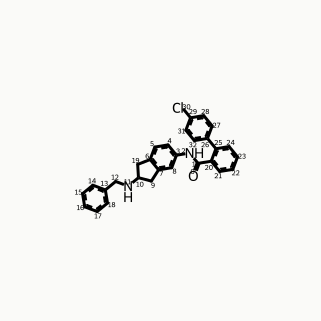 O=C(Nc1ccc2c(c1)CC(NCc1ccccc1)C2)c1ccccc1-c1ccc(Cl)cc1